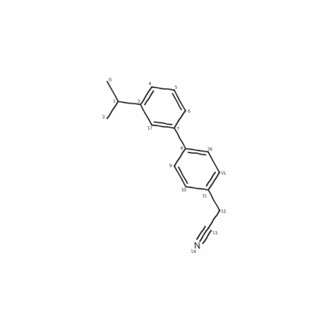 CC(C)c1cccc(-c2ccc(CC#N)cc2)c1